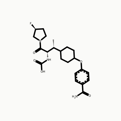 C[C@H](C1CCC(Oc2ccc(C(N)=O)cc2)CC1)[C@H](NC(=O)O)C(=O)N1CC[C@H](F)C1